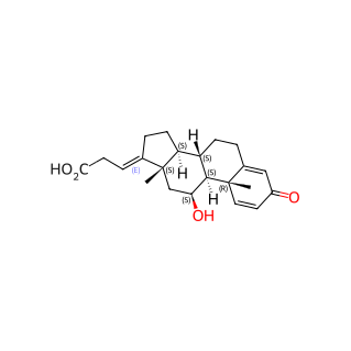 C[C@]12C=CC(=O)C=C1CC[C@@H]1[C@@H]2[C@@H](O)C[C@]2(C)/C(=C/CC(=O)O)CC[C@@H]12